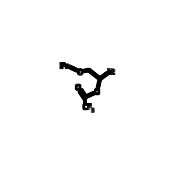 CCC(COC(C)C)OC(=O)C(F)(F)F